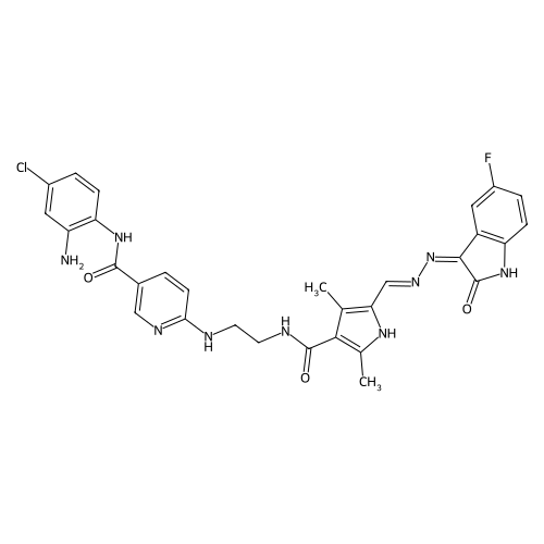 Cc1[nH]c(C=NN=C2C(=O)Nc3ccc(F)cc32)c(C)c1C(=O)NCCNc1ccc(C(=O)Nc2ccc(Cl)cc2N)cn1